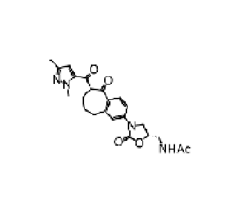 CC(=O)NC[C@H]1CN(c2ccc3c(c2)CCC[C@@H](C(=O)c2cc(C)nn2C)C3=O)C(=O)O1